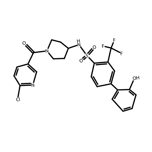 O=C(c1ccc(Cl)nc1)N1CCC(NS(=O)(=O)c2ccc(-c3ccccc3O)cc2C(F)(F)F)CC1